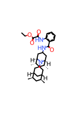 CCOC(=O)C(=O)Nc1ccccc1C(=O)NC1C[C@@H]2[C@@H](C)C[C@@H](C)[C@H](C1)N2C1C[C@@H]2C[C@H](C1)[C@@H](C)C[C@H]2C